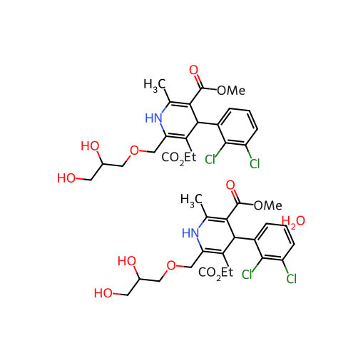 CCOC(=O)C1=C(COCC(O)CO)NC(C)=C(C(=O)OC)C1c1cccc(Cl)c1Cl.CCOC(=O)C1=C(COCC(O)CO)NC(C)=C(C(=O)OC)C1c1cccc(Cl)c1Cl.O